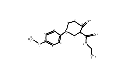 CCOC(=O)C1CN(c2ccc(OC)cc2)CCC1=O